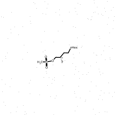 CCCCCCCC[C@H](F)COS(C)(=O)=O